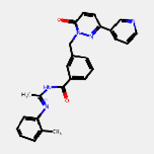 C/C(=N\c1ccccc1C)NC(=O)c1cccc(Cn2nc(-c3cccnc3)ccc2=O)c1